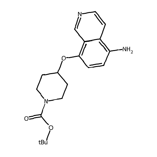 CC(C)(C)OC(=O)N1CCC(Oc2ccc(N)c3ccncc23)CC1